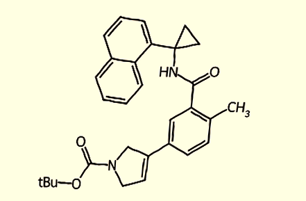 Cc1ccc(C2=CCN(C(=O)OC(C)(C)C)C2)cc1C(=O)NC1(c2cccc3ccccc23)CC1